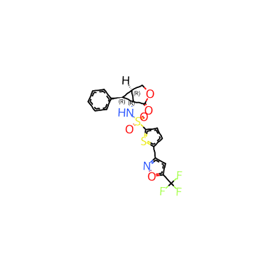 O=C1OC[C@@H]2[C@H](c3ccccc3)[C@]12NS(=O)(=O)c1ccc(-c2cc(C(F)(F)F)on2)s1